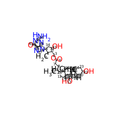 C=C1[C@H](COC(=O)CC[C@@H](C)[C@H]2CC[C@H]3[C@@H]4[C@H](O)C[C@@H]5C[C@H](O)CC[C@]5(C)[C@H]4CC[C@]23C)[C@@H](O)C[C@@H]1n1cnc2c(=O)[nH]c(N)nc21